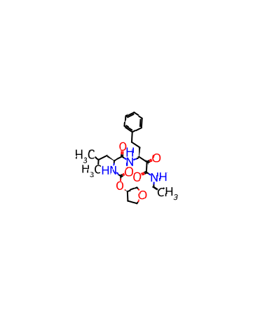 CCNC(=O)C(=O)[C@H](CCc1ccccc1)NC(=O)[C@H](CC(C)C)NC(=O)O[C@H]1CCOC1